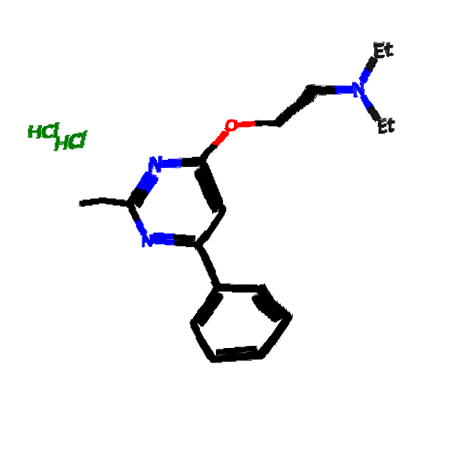 CCN(CC)CCOc1cc(-c2ccccc2)nc(C)n1.Cl.Cl